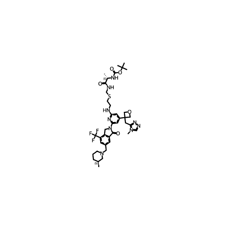 C[C@H]1CCCN(Cc2cc3c(c(C(F)(F)F)c2)CN(c2cc(C4(Cc5nncn5C)COC4)cc(NCCSCNC(=O)[C@H](C)NC(=O)OC(C)(C)C)n2)C3=O)C1